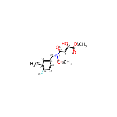 COC(=O)/C(O)=C/C(=O)N(Cc1ccc(F)c(C)c1)OC